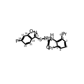 CC(C)c1cccc(C(C)C)c1NC(=O)NSc1noc2cc(F)ccc12